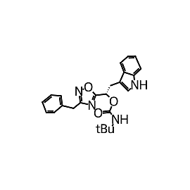 CC(C)(C)NC(=O)O[C@@H](Cc1c[nH]c2ccccc12)c1nc(Cc2ccccc2)no1